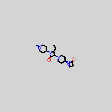 CCC1C(N2CCC(N3CCC3=O)CC2)C(=O)N1C1CCN(C)CC1